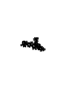 Cc1nc(-c2ccc(-c3ccc(C(=O)Nc4ccc(I)cc4I)c(OCCN(C)C)c3)c(C)c2)no1